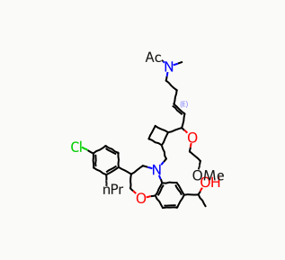 CCCc1cc(Cl)ccc1C1COc2ccc(C(C)O)cc2N(CC2CCC2C(/C=C/CCN(C)C(C)=O)OCCOC)C1